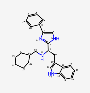 c1ccc(-c2c[nH]c([C@@H](Cc3c[nH]c4ccccc34)NCC3CCCCC3)n2)cc1